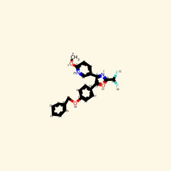 COc1ccc(-c2nc(C(F)F)oc2-c2ccc(OCc3ccccc3)cc2)cn1